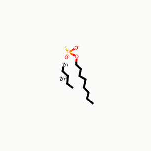 CCCCCCCCOP([O-])([O-])=S.CCC[CH2][Zn].[Zn+2]